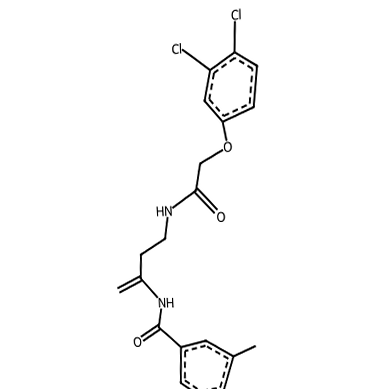 C=C(CCNC(=O)COc1ccc(Cl)c(Cl)c1)NC(=O)c1cncc(C)c1